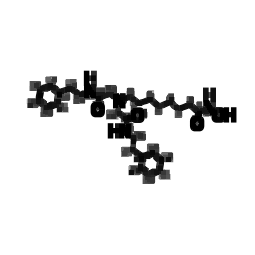 O=C(CCCCCCCN(CC(=O)NCCc1ccccc1)CC(=O)NCCc1ccccc1)NO